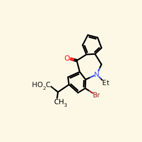 CCN1Cc2ccccc2C(=O)c2cc(C(C)C(=O)O)cc(Br)c21